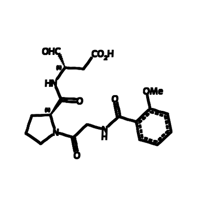 COc1ccccc1C(=O)NCC(=O)N1CCC[C@H]1C(=O)N[C@H](C=O)CC(=O)O